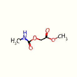 CNC(=O)OCC(=O)OC